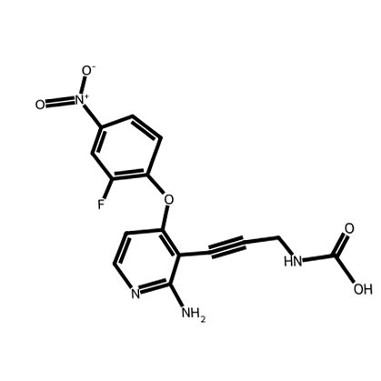 Nc1nccc(Oc2ccc([N+](=O)[O-])cc2F)c1C#CCNC(=O)O